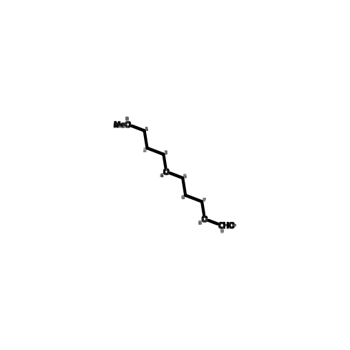 COCCCOCCCO[C]=O